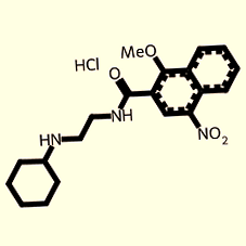 COc1c(C(=O)NCCNC2CCCCC2)cc([N+](=O)[O-])c2ccccc12.Cl